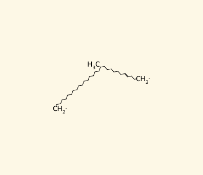 [CH2]CCC=CCCCCCCC(C)CCCCCCCCCCCCCCCC[CH2]